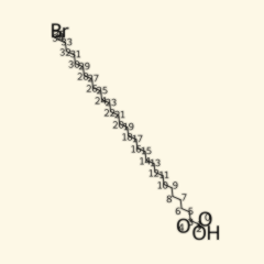 O=C(O)C(=O)CCCCCCCCCCCCCCCCCCCCCCCCCCCCCCBr